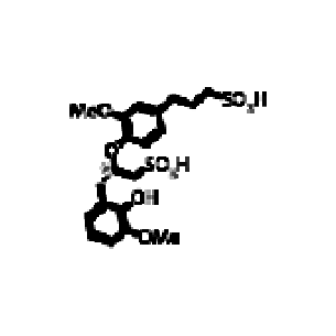 COc1cc(CCCS(=O)(=O)O)ccc1O[C@@H](Cc1cccc(OC)c1O)CS(=O)(=O)O